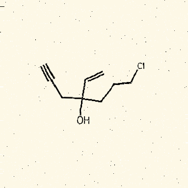 C#CCC(O)(C=C)CCCCl